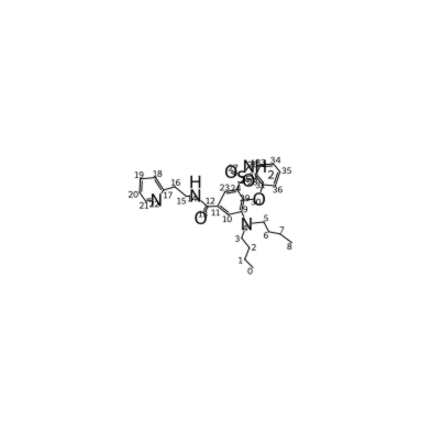 CCCCN(CCCC)c1cc(C(=O)NCCc2ccccn2)cc(S(N)(=O)=O)c1Oc1ccccc1